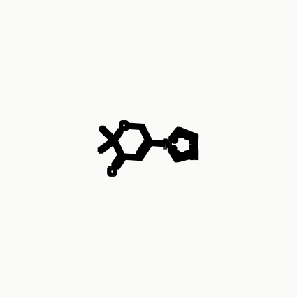 CC1(C)OCC(n2ccnc2)=CC1=O